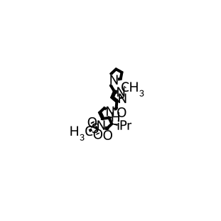 CC(C)[C@H]1C(=O)N(S(C)(=O)=O)C2=CCN(C(=O)c3cc(CN4CCCC4)n(C)n3)[C@@H]21